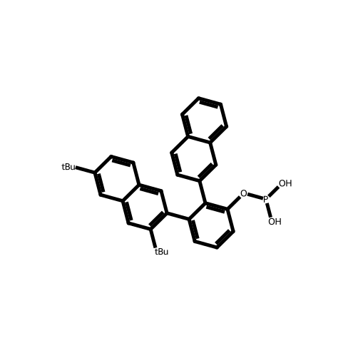 CC(C)(C)c1ccc2cc(-c3cccc(OP(O)O)c3-c3ccc4ccccc4c3)c(C(C)(C)C)cc2c1